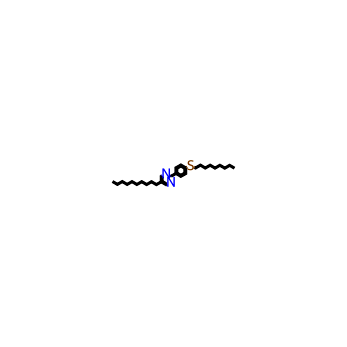 CCCCCCCCCCc1cnc(-c2ccc(SCCCCCCCCC)cc2)nc1